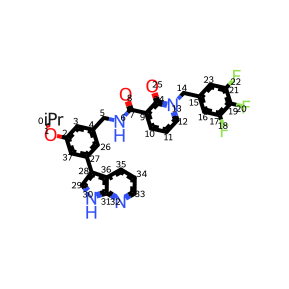 CC(C)Oc1cc(CNC(=O)c2cccn(Cc3cc(F)c(F)c(F)c3)c2=O)cc(-c2c[nH]c3ncccc23)c1